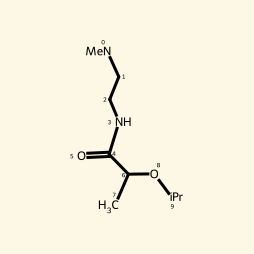 CNCCNC(=O)C(C)OC(C)C